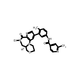 CCN1C[C@@H]2COCCN2c2cc(-c3cc(NC(=O)c4ccnc(C(F)(F)F)c4)ccc3C)cnc2C1=O